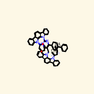 C=C/C=C\C(=C/C)n1c2ccccc2c2ccc3c4ccccc4n(CC4=C(C5=CC=C(c6ccccc6)CC5)N=C(n5c6ccccc6c6ccc7c8ccccc8n(C8C=CC=CC8)c7c65)NC4)c3c21